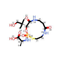 C[C@H](NP1(=O)O[C@H](C(C)(C)CO)C(=O)NCCC(=O)NCCS1)C(=O)O